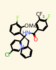 COc1c(F)cccc1[C@](Cc1ccccc1)(NC(=O)c1ccc(F)c(C(F)(F)F)c1)c1ccc(Cl)cn1